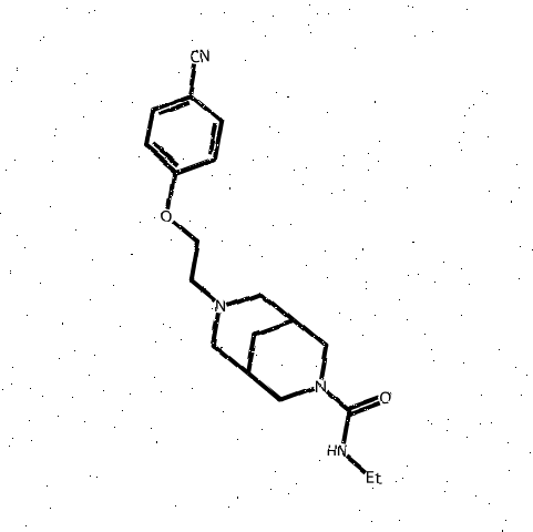 CCNC(=O)N1CC2CC(CN(CCOc3ccc(C#N)cc3)C2)C1